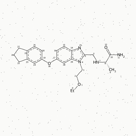 CCOCCn1c(CN[C@@H](C)C(N)=O)nc2ccc(Oc3ccc4c(c3)CCC4)cc21